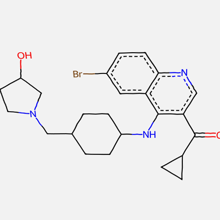 O=C(c1cnc2ccc(Br)cc2c1NC1CCC(CN2CCC(O)C2)CC1)C1CC1